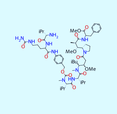 CCC(C)[C@@H]([C@@H](CC(=O)N1CCC[C@H]1[C@H](OC)[C@@H](C)C(=O)NC(Cc1ccccc1)C(=O)OC)OC)N(C)C(=O)[C@@H](NC(=O)[C@H](C(C)C)N(C)C(=O)OCc1ccc(NC(=O)C(CCCNC(N)=O)NC(=O)[C@@H](N)C(C)C)cc1)C(C)C